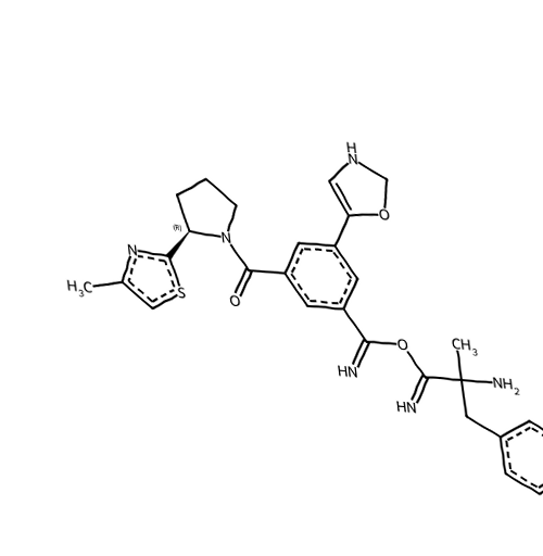 Cc1csc([C@H]2CCCN2C(=O)c2cc(C(=N)OC(=N)C(C)(N)Cc3ccccc3)cc(C3=CNCO3)c2)n1